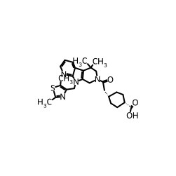 Cc1nc(Cn2c3c(c4cccnc42)C(C)(C)CN(C(=O)C[C@H]2CC[C@@H](C(=O)O)CC2)C3)c(C)s1